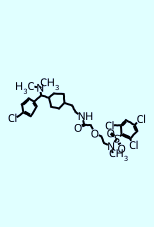 CN(C)C(c1ccc(Cl)cc1)C1CCC(CCNC(=O)COCCN(C)S(=O)(=O)c2c(Cl)cc(Cl)cc2Cl)CC1